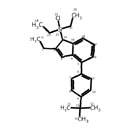 CCC1=Cc2c(-c3ccc(C(C)(C)C)cc3)cccc2C1[Si](Cl)(CC)CC